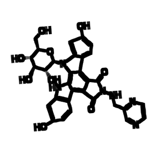 O=C1c2c(c3c4ccc(O)cc4n([C@@H]4O[C@H](CO)[C@@H](O)[C@H](O)[C@H]4O)c3c3[nH]c4cc(O)ccc4c23)C(=O)N1NCc1cnccn1